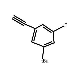 [C]#Cc1cc(F)cc(C(C)(C)C)c1